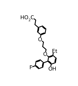 CCc1ccc(O)c(-c2ccc(F)cc2)c1OCCCOc1cccc(CCC(=O)O)c1